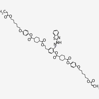 C=CC(=O)OCCCCCCOc1ccc(OC(=O)C2CCC(C(=O)OCCc3ccc(OC(=O)C4CCC(C(=O)Oc5ccc(OCCCCCCOC(=O)C=C)cc5)CC4)c(/C=N/Nc4nc5ccccc5s4)c3)CC2)cc1